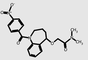 CN(C)C(=O)COC1CCCN(C(=O)c2ccc([N+](=O)[O-])cc2)c2ccccc21